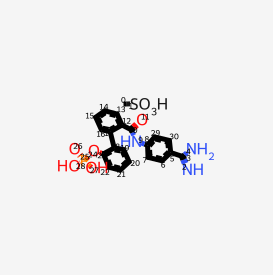 CS(=O)(=O)O.N=C(N)c1ccc(NC(=O)c2ccccc2-c2ccccc2OP(=O)(O)O)cc1